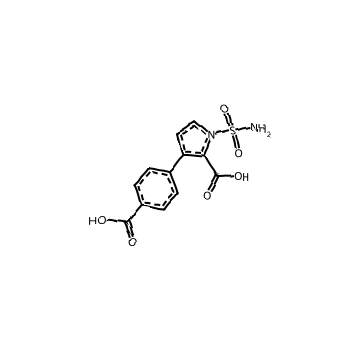 NS(=O)(=O)n1ccc(-c2ccc(C(=O)O)cc2)c1C(=O)O